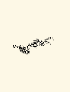 CC#CCC(C)C(O)/C=C/C1CCC2Oc3c(CCCC(=O)OCOc4c(S(=O)(=O)c5ccccc5)no[n+]4OC)cccc3C12